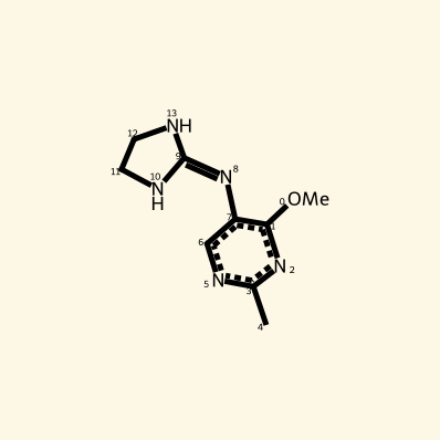 COc1nc(C)ncc1N=C1NCCN1